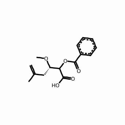 C=C(C)C[C@H](OC)C(OC(=O)c1ccccc1)C(=O)O